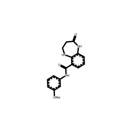 COc1cccc(NC(=O)c2cccc3c2NCCC(=O)N3)c1